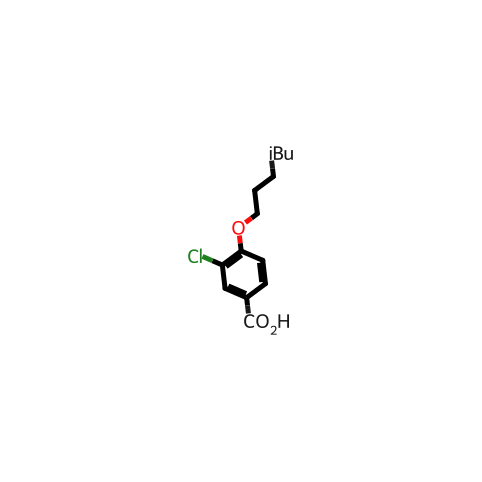 CCC(C)CCCOc1ccc(C(=O)O)cc1Cl